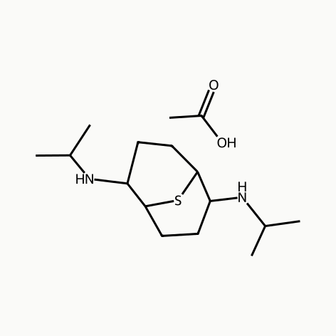 CC(=O)O.CC(C)NC1CCC2SC1CCC2NC(C)C